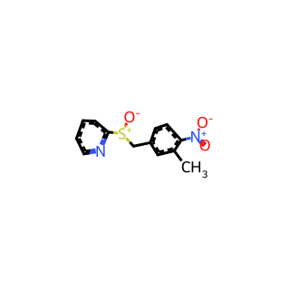 Cc1cc(C[S+]([O-])c2ccccn2)ccc1[N+](=O)[O-]